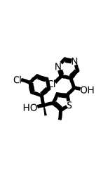 Cc1sc(C(O)c2cncnc2Cl)cc1[C@](C)(O)c1cccc(Cl)c1